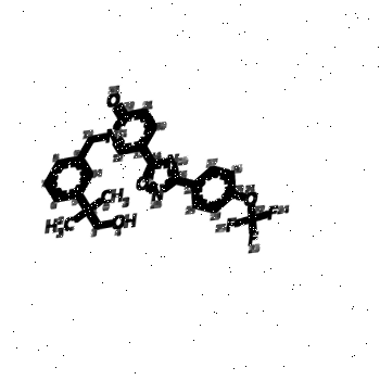 CC(C)(CO)c1cccc(Cn2cc(-c3nc(-c4ccc(OC(F)(F)F)cc4)no3)ccc2=O)c1